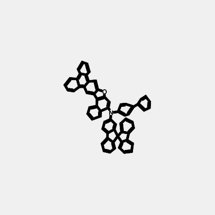 c1ccc(-c2ccc(N(c3ccc4c(c3)C3(c5ccccc5-c5ccccc53)c3ccccc3-4)c3cc4oc5cc6c7ccccc7c7ccccc7c6cc5c4c4ccccc34)cc2)cc1